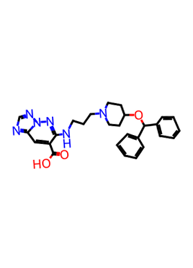 O=C(O)c1cc2ncnn2nc1NCCCN1CCC(OC(c2ccccc2)c2ccccc2)CC1